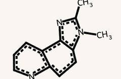 Cc1nc2c3cccnc3ccc2n1C